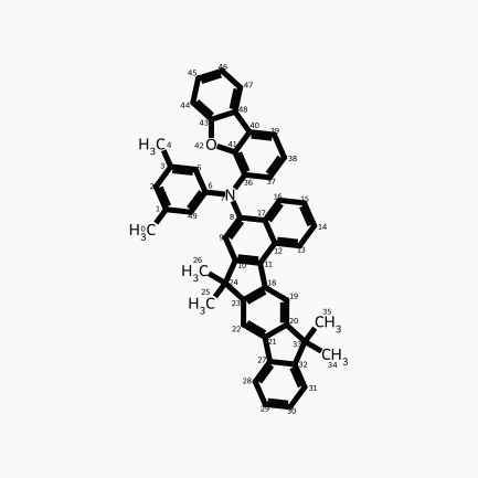 Cc1cc(C)cc(N(c2cc3c(c4ccccc24)-c2cc4c(cc2C3(C)C)-c2ccccc2C4(C)C)c2cccc3c2oc2ccccc23)c1